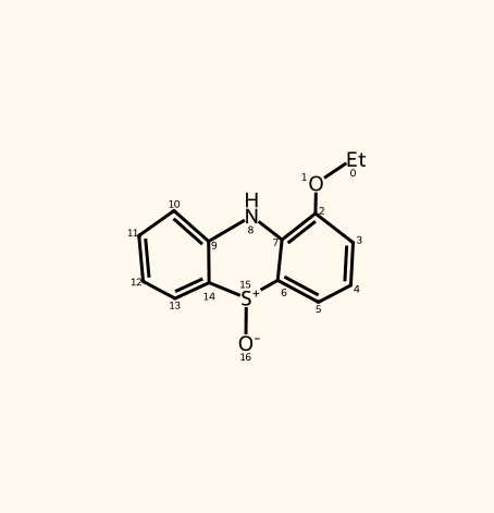 CCOc1cccc2c1Nc1ccccc1[S+]2[O-]